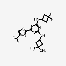 CC1(P)CC(Nc2nc(NC3CC(F)(F)C3)nc(-c3nc(C(F)F)cs3)n2)C1